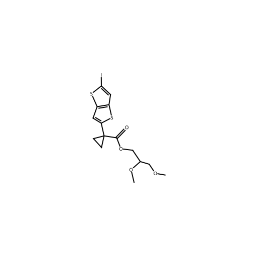 COCC(COC(=O)C1(c2cc3sc(I)cc3s2)CC1)OC